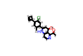 CC(=O)c1nccc2[nH]c(-c3cc(Cl)c(C45CC(C4)C5)cc3C)cc(=O)c12